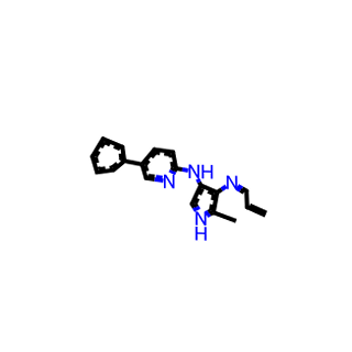 C=C/C=N\c1c(Nc2ccc(-c3ccccc3)cn2)c[nH]c1C